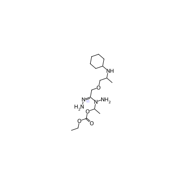 CCOC(=O)OC(C)N(N)/C(COCC(C)NC1CCCCC1)=N\N